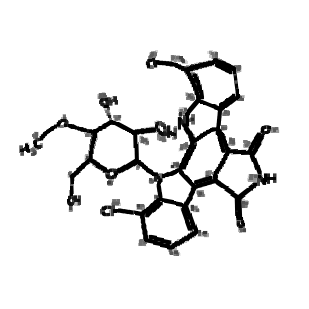 COC1C(CO)OC(n2c3c(Cl)cccc3c3c4c(c5c6cccc(Cl)c6[nH]c5c32)C(=O)NC4=O)C(O)[C@H]1O